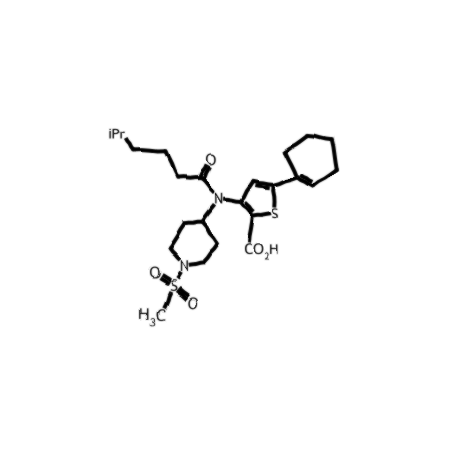 CC(C)CCCC(=O)N(c1cc(C2=CCCCC2)sc1C(=O)O)C1CCN(S(C)(=O)=O)CC1